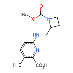 Cc1ccc(NCC2CCN2C(=O)OC(C)(C)C)nc1C(=O)O